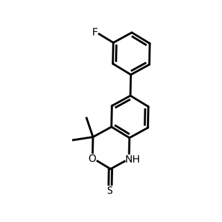 CC1(C)OC(=S)Nc2ccc(-c3cccc(F)c3)cc21